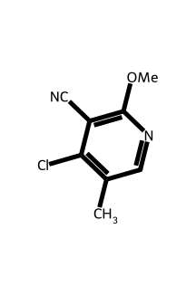 COc1ncc(C)c(Cl)c1C#N